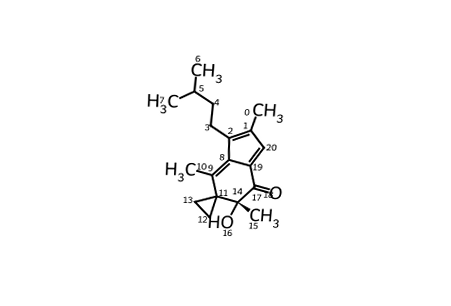 CC1=C(CCC(C)C)C2=C(C)C3(CC3)[C@@](C)(O)C(=O)C2=C1